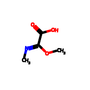 CN=C(OC)C(=O)O